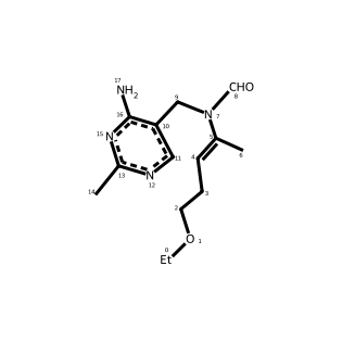 CCOCCC=C(C)N(C=O)Cc1cnc(C)nc1N